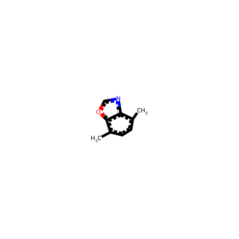 Cc1ccc(C)c2o[c]nc12